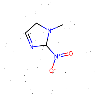 CN1C[C]=NC1[N+](=O)[O-]